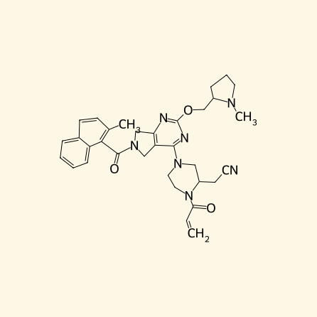 C=CC(=O)N1CCN(c2nc(OCC3CCCN3C)nc3c2CN(C(=O)c2c(C)ccc4ccccc24)C3)CC1CC#N